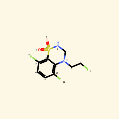 O=S1(=O)NCN(CCF)c2c(F)ccc(F)c21